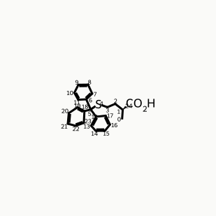 C[C@@H](CCSC(c1ccccc1)(c1ccccc1)c1ccccc1)C(=O)O